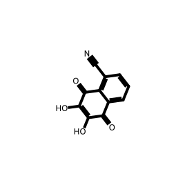 N#Cc1cccc2c1C(=O)C(O)=C(O)C2=O